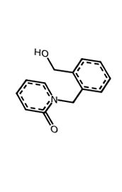 O=c1ccccn1Cc1ccccc1CO